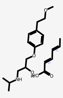 C/C=C/C=C/C(=O)O.COCCc1ccc(OCC(O)CNC(C)C)cc1